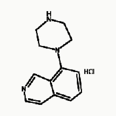 Cl.c1cc(N2CCNCC2)c2cnccc2c1